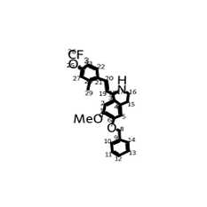 COc1cc2c(cc1OCc1ccccc1)CCNC2/C=C/c1ccc(OC(F)(F)F)cc1C